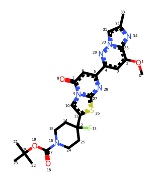 COc1cc(-c2cc(=O)n3cc(C4(F)CCN(C(=O)OC(C)(C)C)CC4)sc3n2)nn2cc(C)nc12